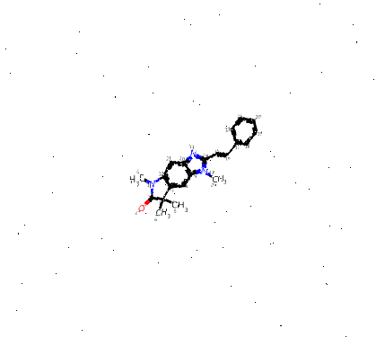 CN1C(=O)C(C)(C)c2cc3c(cc21)nc(C=Cc1ccccc1)n3C